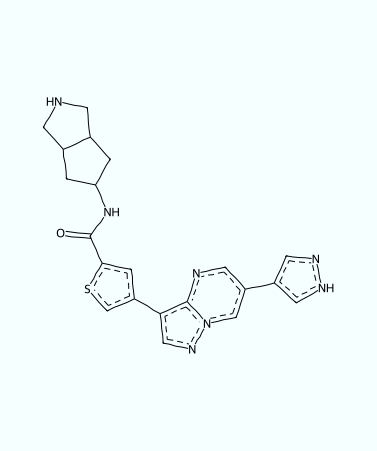 O=C(NC1CC2CNCC2C1)c1cc(-c2cnn3cc(-c4cn[nH]c4)cnc23)cs1